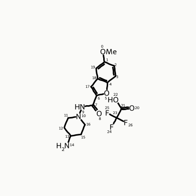 COc1ccc2oc(C(=O)NN3CCC(N)CC3)cc2c1.O=C(O)C(F)(F)F